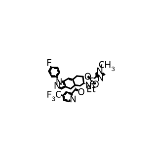 CCN([C@H]1CCC2=Cc3c(cnn3-c3ccc(F)cc3)C[C@]2(C(=O)c2cc(C(F)(F)F)ccn2)C1)S(=O)(=O)c1cn(C)cn1